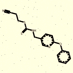 N#CCCSC(=S)NCc1ccc(Oc2ccccc2)nc1